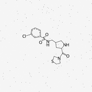 O=C(C1CC(CNS(=O)(=O)c2cccc(Cl)c2)CN1)N1CCSC1